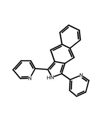 c1ccc(-c2[nH]c(-c3ccccn3)c3cc4ccccc4cc23)nc1